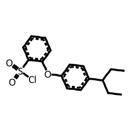 CCC(CC)c1ccc(Oc2ccccc2S(=O)(=O)Cl)cc1